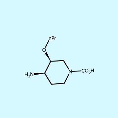 CCCO[C@H]1CN(C(=O)O)CC[C@H]1N